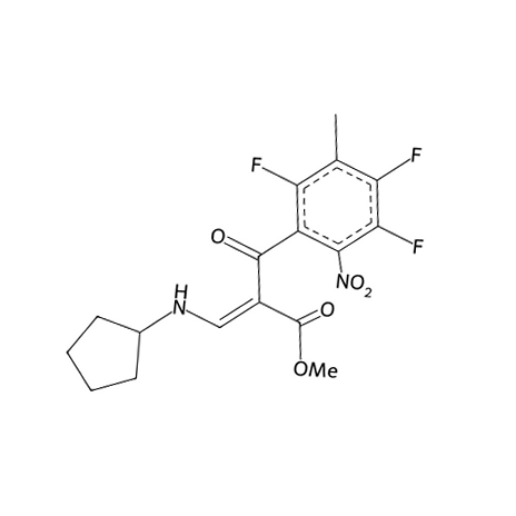 COC(=O)/C(=C/NC1CCCC1)C(=O)c1c(F)c(C)c(F)c(F)c1[N+](=O)[O-]